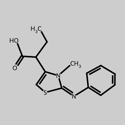 CCC(C(=O)O)c1csc(=Nc2ccccc2)n1C